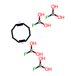 C1=C\CC/C=C\CC/1.OB(O)F.OB(O)F.OB(O)F.OB(O)F